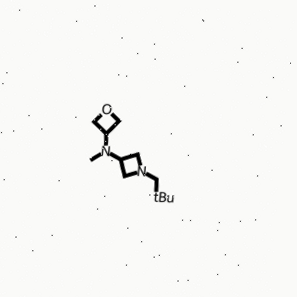 CN(C1COC1)C1CN(CC(C)(C)C)C1